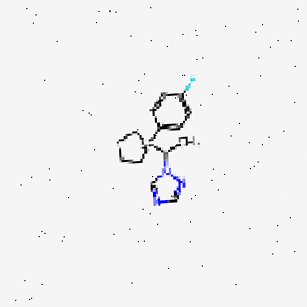 CC(n1cncn1)[Si]1(c2ccc(F)cc2)CCCC1